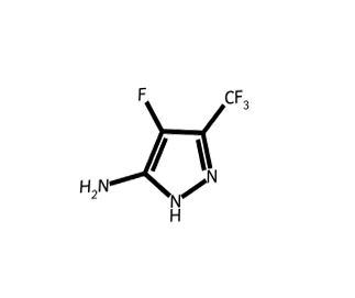 Nc1[nH]nc(C(F)(F)F)c1F